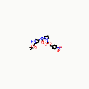 CC(C)(C)OC(=O)C1C[C@H](NC(=O)[C@@H]2CCCN2C(=O)OCc2ccc([N+](=O)[O-])cc2)CN1